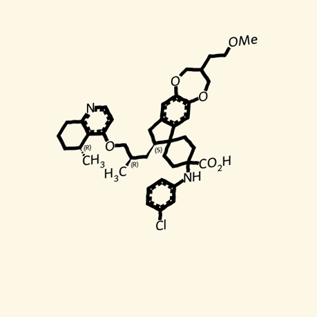 COCCC1COc2cc3c(cc2OC1)C1(CCC(Nc2cccc(Cl)c2)(C(=O)O)CC1)[C@@H](C[C@@H](C)COc1ccnc2c1[C@H](C)CCC2)C3